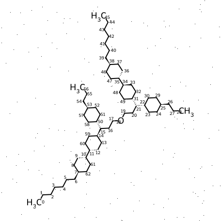 CCCCCCC[C@H]1CC[C@H]([C@H]2CC[C@H](C(CCOCCC([C@H]3CC[C@H](CCC)CC3)[C@H]3CC[C@H]([C@H]4CC[C@H](CCCCCCC)CC4)CC3)[C@H]3CC[C@H](CCC)CC3)CC2)CC1